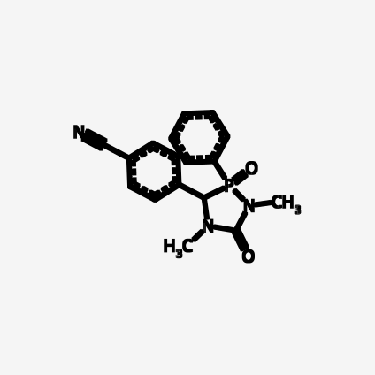 CN1C(=O)N(C)P(=O)(c2ccccc2)C1c1ccc(C#N)cc1